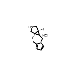 Cc1nccn1CC1[C@H]2CNC[C@@H]12.Cl